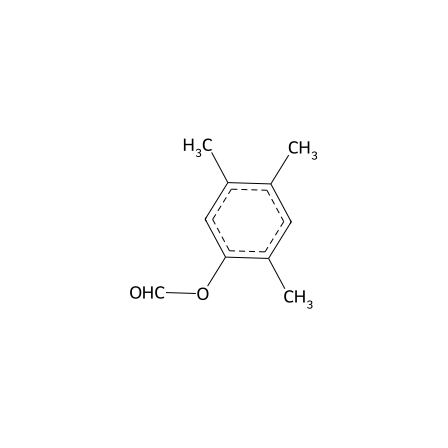 Cc1cc(C)c(OC=O)cc1C